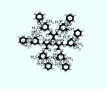 CC1(C)CC(OC(=O)C(C(=O)OC2CC(C)(C)N(OC3CCCCC3)C(C)(C)C2)=C2NC(=C(C(=O)OC3CC(C)(C)N(OC4CCCCC4)C(C)(C)C3)C(=O)OC3CC(C)(C)N(OC4CCCCC4)C(C)(C)C3)NC(=C(C(=O)OC3CC(C)(C)N(OC4CCCCC4)C(C)(C)C3)C(=O)OC3CC(C)(C)N(OC4CCCCC4)C(C)(C)C3)N2)CC(C)(C)N1OC1CCCCC1